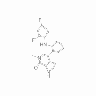 Cn1cc(-c2ccccc2Nc2ccc(F)cc2F)c2cc[nH]c2c1=O